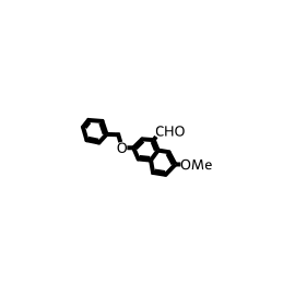 COc1ccc2cc(OCc3ccccc3)cc(C=O)c2c1